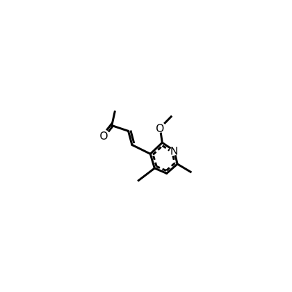 COc1nc(C)cc(C)c1C=CC(C)=O